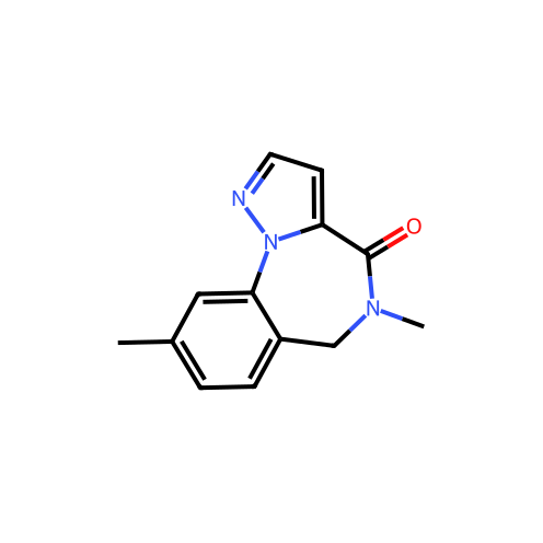 Cc1ccc2c(c1)-n1nccc1C(=O)N(C)C2